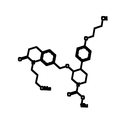 COCCCN1C(=O)CCc2ccc(COC3CN(C(=O)OC(C)(C)C)CCC3c3ccc(OCCCC#N)cc3)cc21